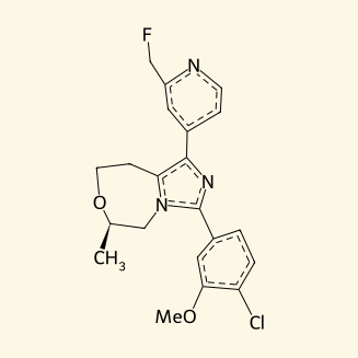 COc1cc(-c2nc(-c3ccnc(CF)c3)c3n2C[C@@H](C)OCC3)ccc1Cl